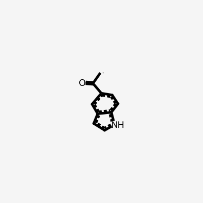 [CH2]C(=O)c1ccc2[nH]ccc2c1